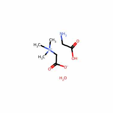 C[N+](C)(C)CC(=O)[O-].NCC(=O)O.O